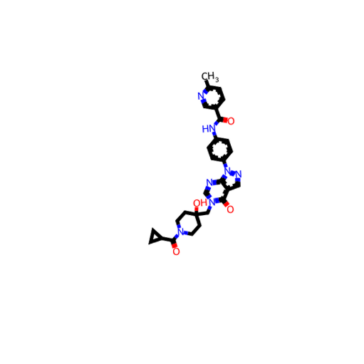 Cc1ccc(C(=O)Nc2ccc(-n3ncc4c(=O)n(CC5(O)CCN(C(=O)C6CC6)CC5)cnc43)cc2)cn1